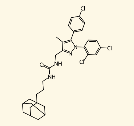 Cc1c(CNC(=O)NCCCC23CC4CC(CC(C4)C2)C3)nn(-c2ccc(Cl)cc2Cl)c1-c1ccc(Cl)cc1